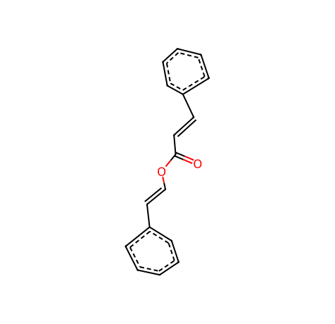 O=C(/C=C/c1ccccc1)OC=Cc1ccccc1